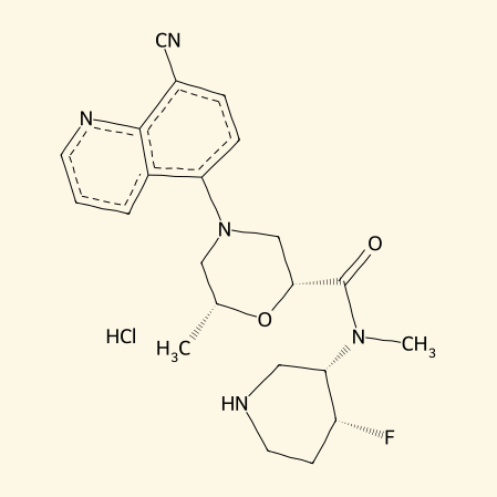 C[C@@H]1CN(c2ccc(C#N)c3ncccc23)C[C@H](C(=O)N(C)[C@H]2CNCC[C@H]2F)O1.Cl